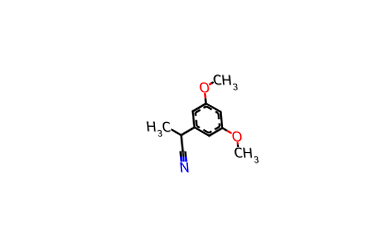 COc1cc(OC)cc(C(C)C#N)c1